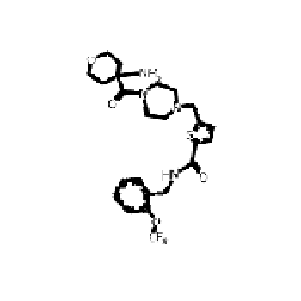 NC1(C(=O)N2CCN(Cc3ccc(C(=O)NCc4ccccc4OC(F)(F)F)s3)CC2)CCOCC1